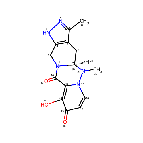 Cc1n[nH]c2c1C[C@@H]1N(C2)C(=O)c2c(O)c(=O)ccn2N1C